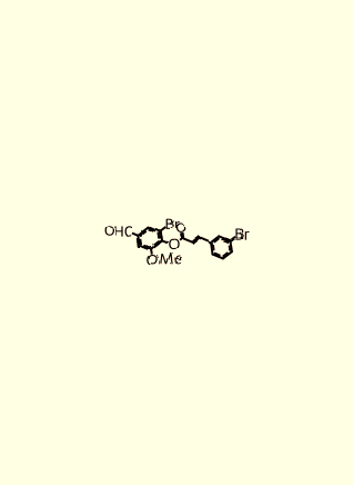 COc1cc(C=O)cc(Br)c1OC(=O)/C=C/c1cccc(Br)c1